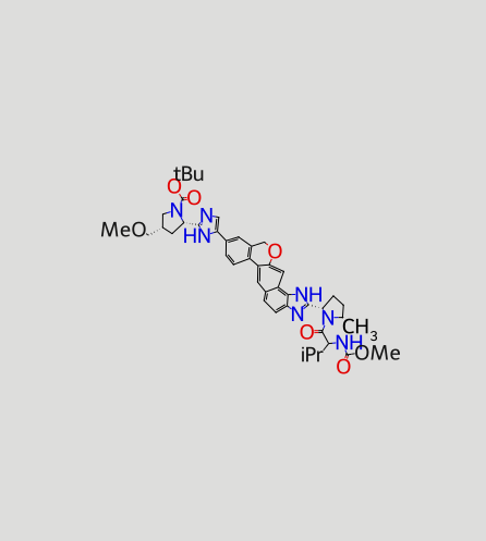 COC[C@H]1C[C@@H](c2ncc(-c3ccc4c(c3)COc3cc5c(ccc6nc([C@@H]7CC[C@H](C)N7C(=O)C(NC(=O)OC)C(C)C)[nH]c65)cc3-4)[nH]2)N(C(=O)OC(C)(C)C)C1